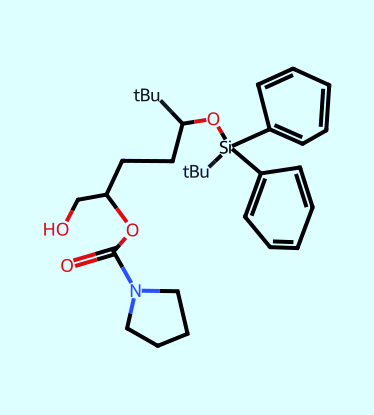 CC(C)(C)C(CCC(CO)OC(=O)N1CCCC1)O[Si](c1ccccc1)(c1ccccc1)C(C)(C)C